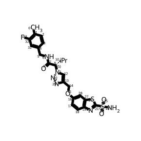 Cc1ccc(CNC(=O)[C@H](C(C)C)n2cc(COc3ccc4nc(S(N)(=O)=O)sc4c3)nn2)cc1F